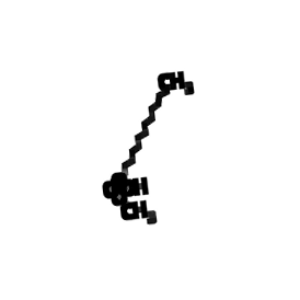 CCCCCCCCCCCCCCOP(=O)(O)OCC